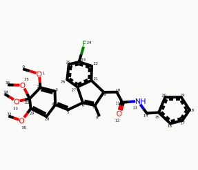 COC1=CC(=CC2=C(C)C(CC(=O)NCc3ccccc3)c3cc(F)ccc32)C=C(OC)C1(OC)OC